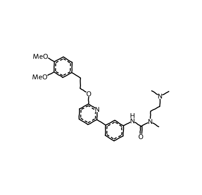 COc1ccc(CCOc2cccc(-c3cccc(NC(=O)N(C)CCN(C)C)c3)n2)cc1OC